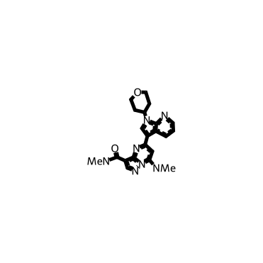 CNC(=O)c1cnn2c(NC)cc(-c3cn(C4CCOCC4)c4ncccc34)nc12